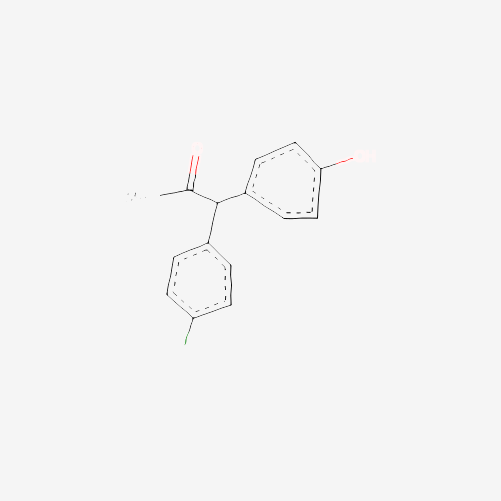 COC(=O)C(c1ccc(O)cc1)c1ccc(Cl)cc1